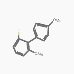 COc1ccc(-c2c(F)cccc2OC)cc1